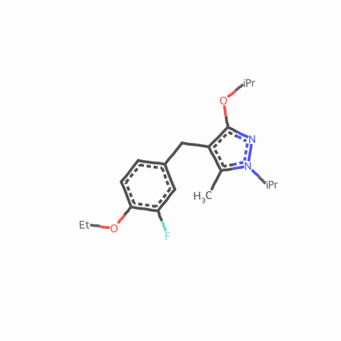 CCOc1ccc(Cc2c(OC(C)C)nn(C(C)C)c2C)cc1F